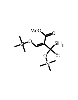 CCC([SiH3])(O[Si](C)(C)C)C(=CO[Si](C)(C)C)C(=O)OC